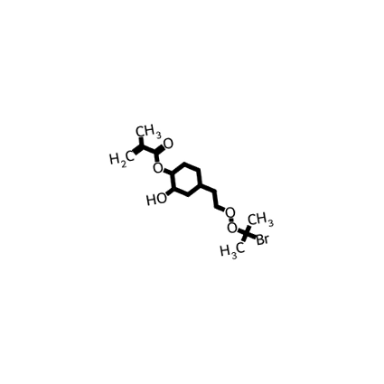 C=C(C)C(=O)OC1CCC(CCOOC(C)(C)Br)CC1O